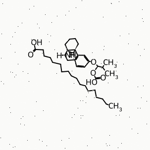 CC(C)C(OC(=O)O)Oc1ccc2c(c1)[C@@]13CCCC[C@H]1[C@@H](C2)NCC3.CCCCCCCCCCCCCCCCCC(=O)O